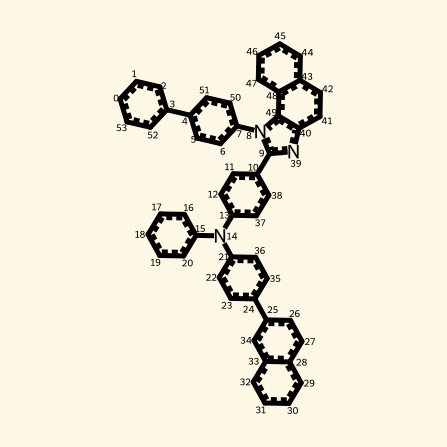 c1ccc(-c2ccc(-n3c(-c4ccc(N(c5ccccc5)c5ccc(-c6ccc7ccccc7c6)cc5)cc4)nc4ccc5ccccc5c43)cc2)cc1